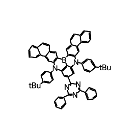 CC(C)(C)c1ccc(N2c3cc4c(ccc5ccccc54)cc3B3c4cc5ccc6ccccc6c5cc4N(c4ccc(C(C)(C)C)cc4)c4cc(-c5nc(-c6ccccc6)nc(-c6ccccc6)n5)cc2c43)cc1